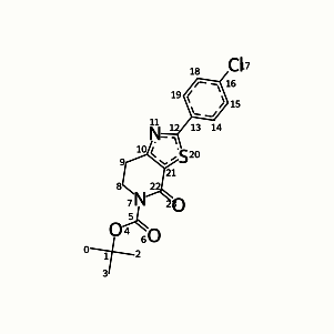 CC(C)(C)OC(=O)N1CCc2nc(-c3ccc(Cl)cc3)sc2C1=O